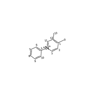 Cc1cc[n+](-c2ccccc2)cc1C